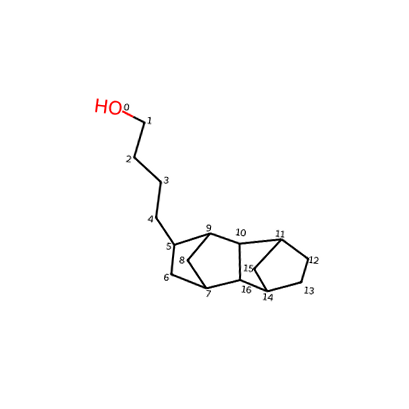 OCCCCC1CC2CC1C1C3CCC(C3)C21